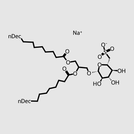 CCCCCCCCCCCCCCCCCC(=O)OCC(CO[C@@H]1O[C@H](CS(=O)(=O)[O-])[C@@H](O)[C@H](O)[C@H]1O)OC(=O)CCCCCCCCCCCCCCCCC.[Na+]